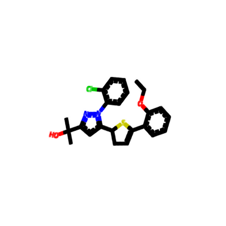 CCOc1ccccc1C1=CCC(c2cc(C(C)(C)O)nn2-c2ccccc2Cl)S1